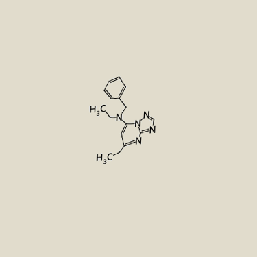 CCc1cc(N(CC)Cc2ccccc2)n2ncnc2n1